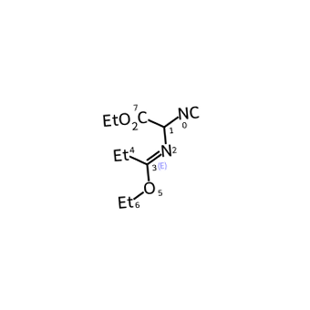 [C-]#[N+]C(/N=C(\CC)OCC)C(=O)OCC